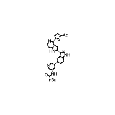 CCCCC(=O)Nc1cncc(-c2ccc3[nH]nc(-c4cc5c(-c6ccc(C(C)=O)s6)nccc5[nH]4)c3c2)c1